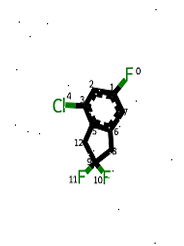 Fc1cc(Cl)c2c(c1)CC(F)(F)C2